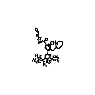 Cn1c(C(=O)N[C@H]2C[C@H](OC=O)C2)cc(-c2cc(C(C)(C)C)nc(C(C)(C)C)n2)c1CC1CCCCC1